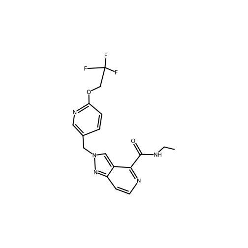 CCNC(=O)c1nccc2nn(Cc3ccc(OCC(F)(F)F)nc3)cc12